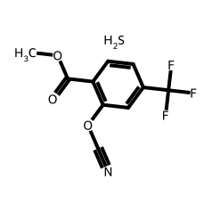 COC(=O)c1ccc(C(F)(F)F)cc1OC#N.S